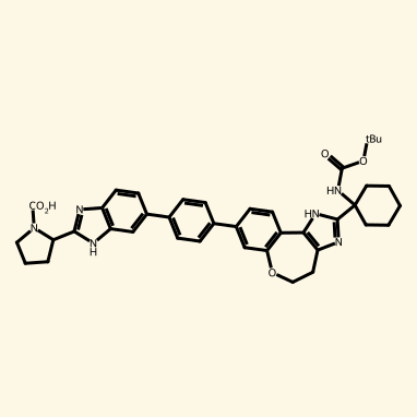 CC(C)(C)OC(=O)NC1(c2nc3c([nH]2)-c2ccc(-c4ccc(-c5ccc6nc(C7CCCN7C(=O)O)[nH]c6c5)cc4)cc2OCC3)CCCCC1